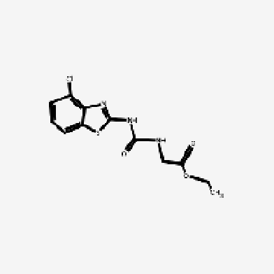 CCOC(=O)CNC(=O)Nc1nc2c(Cl)cccc2s1